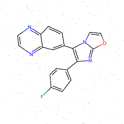 Fc1ccc(-c2nc3occn3c2-c2ccc3nccnc3c2)cc1